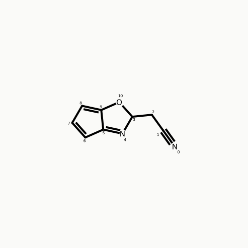 N#CCC1N=C2C=CC=C2O1